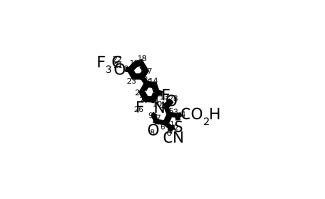 N#CC1SC(C(=O)O)C2=C1C(=O)CN(c1c(F)cc(-c3cccc(OC(F)(F)F)c3)cc1F)C2=O